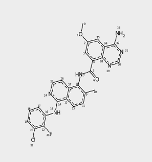 COc1cc(C(=O)Nc2c(C)ccc3c(Nc4cccc(Cl)c4F)nccc23)c2ncnc(N)c2c1